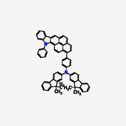 CC1(C)c2ccccc2-c2ccc(N(c3ccc(-c4ccc5ccc6cc7c8ccccc8n(-c8ccccc8)c7c7ccc4c5c67)cc3)c3ccc4c(c3)C(C)(C)c3ccccc3-4)cc21